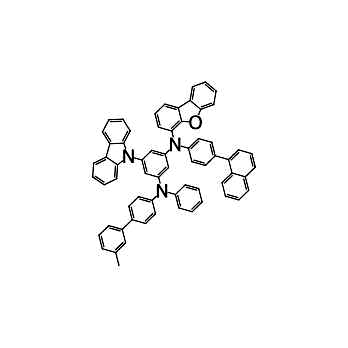 Cc1cccc(-c2ccc(N(c3ccccc3)c3cc(N(c4ccc(-c5cccc6ccccc56)cc4)c4cccc5c4oc4ccccc45)cc(-n4c5ccccc5c5ccccc54)c3)cc2)c1